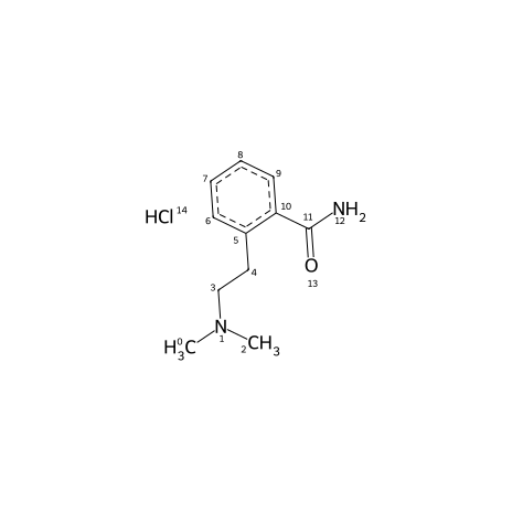 CN(C)CCc1ccccc1C(N)=O.Cl